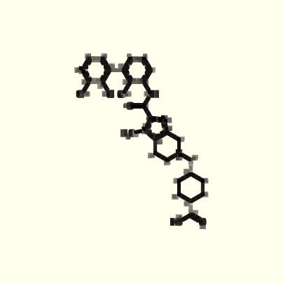 Cn1c(C(=O)Nc2cccc(-c3ccnc(Cl)c3Cl)c2Cl)nc2c1CCN(C[C@H]1CC[C@@H](C(=O)O)CC1)C2